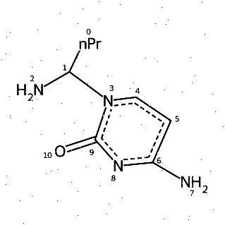 CCCC(N)n1ccc(N)nc1=O